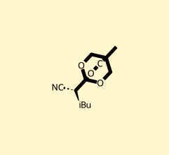 CC[C@H](C)[C@H](C#N)C12OCC(C)(CO1)CO2